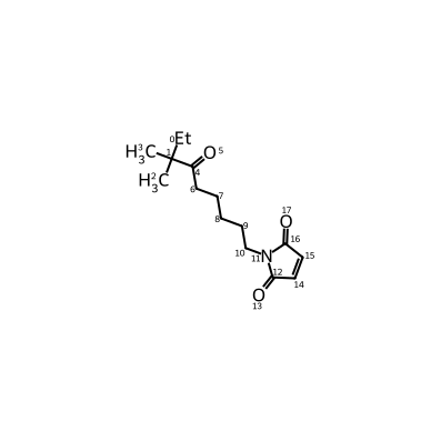 CCC(C)(C)C(=O)CCCCCN1C(=O)C=CC1=O